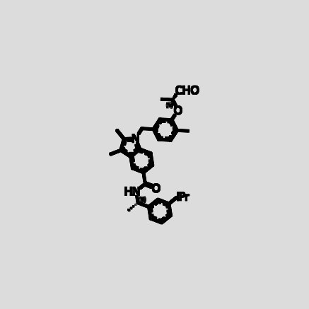 Cc1ccc(Cn2c(C)c(C)c3cc(C(=O)N[C@@H](C)c4cccc(C(C)C)c4)ccc32)cc1O[C@@H](C)C=O